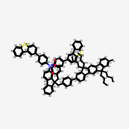 CCCCC1(CCCC)c2cc(C)ccc2-c2cc3c(cc21)-c1ccc(-c2ccc(CC4(Cc5ccc(C)cc5)c5ccccc5-c5ccc(N(c6ccc(-c7ccc8sc9ccccc9c8c7)cc6)c6ccc(-c7ccc8sc9ccccc9c8c7)cc6)cc54)cc2)cc1C3(CCCC)CCCC